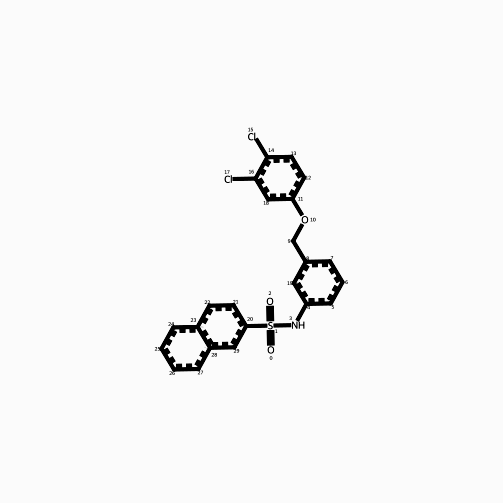 O=S(=O)(Nc1cccc(COc2ccc(Cl)c(Cl)c2)c1)c1ccc2ccccc2c1